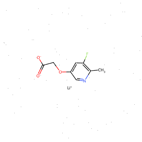 Cc1ncc(OCC(=O)[O-])cc1F.[Li+]